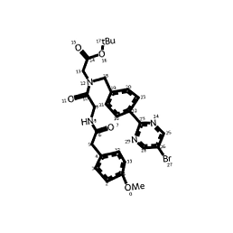 COc1ccc(CC(=O)NCC(=O)N(CC(=O)OC(C)(C)C)Cc2ccc(-c3ncc(Br)cn3)cc2)cc1